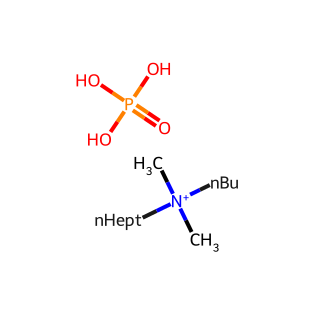 CCCCCCC[N+](C)(C)CCCC.O=P(O)(O)O